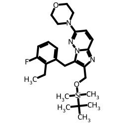 CCc1c(F)cccc1Cc1c(CO[Si](C)(C)C(C)(C)C)nc2ccc(N3CCOCC3)nn12